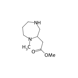 COC(=O)CC1CNCCCN1C